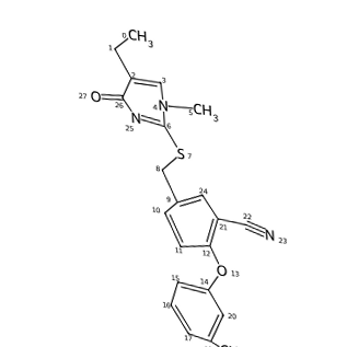 CCc1cn(C)c(SCc2ccc(Oc3cccc(C)c3)c(C#N)c2)nc1=O